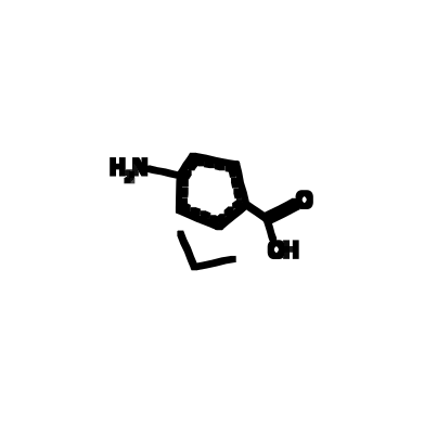 CCC.Nc1ccc(C(=O)O)cc1